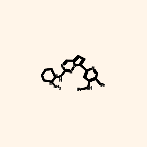 CC(C)Nc1cc(-c2ccc3cnc(N[C@@H]4CCCC[C@@H]4N)nn23)ncc1C(C)C